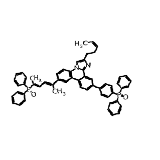 C/C=C\CCc1cn2c3ccc(/C(C)=C/C=C(\C)P(=O)(c4ccccc4)c4ccccc4)cc3c3ccc(-c4ccc(P(=O)(c5ccccc5)c5ccccc5)cc4)cc3c2n1